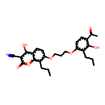 CCCc1c(OCCCOc2ccc3c(O)c(C#N)c(=O)oc3c2CCC)ccc(C(C)=O)c1O